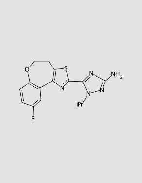 CC(C)n1nc(N)nc1-c1nc2c(s1)CCOc1ccc(F)cc1-2